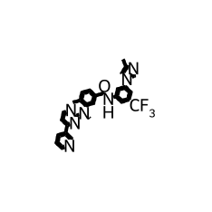 Cc1cn(-c2cc(NC(=O)c3ccc(C)c(N(C)c4nccc(-c5cccnc5)n4)c3)cc(C(F)(F)F)c2)cn1